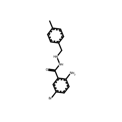 Cc1ccc(CNNC(=O)c2cc(Br)ccc2N)cc1